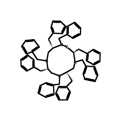 c1ccc(C[C@H]2CN(Cc3ccccc3)[C@@H](Cc3ccccc3)CN(Cc3ccccc3)[C@@H](Cc3ccccc3)CN(Cc3ccccc3)[C@@H](Cc3ccccc3)CN2Cc2ccccc2)cc1